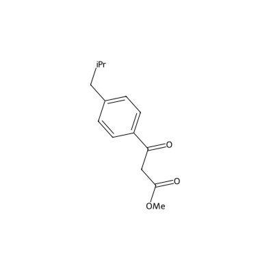 COC(=O)CC(=O)c1ccc(CC(C)C)cc1